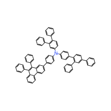 c1ccc(-c2ccc(-c3ccc(N(c4ccc(-c5ccc6c(c5)c(-c5ccccc5)c(-c5ccccc5)c5ccccc56)cc4)c4ccc(-c5ccccc5)c(-c5ccccc5)c4)cc3)c(-c3ccccc3)c2)cc1